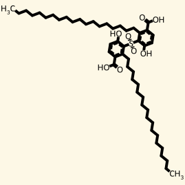 CCCCCCCCCCCCCCCCCCCc1c(C(=O)O)ccc(O)c1S(=O)(=O)c1c(O)ccc(C(=O)O)c1CCCCCCCCCCCCCCCCCCC